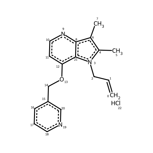 C=CCn1c(C)c(C)c2nccc(OCc3cccnc3)c21.Cl